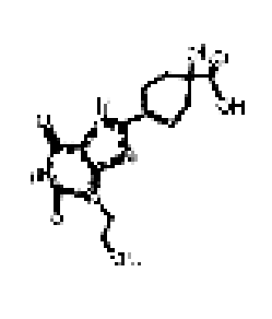 CCCn1c(=O)[nH]c(=O)c2[nH]c(C3=CCC(C)(C(=O)O)CC3)nc21